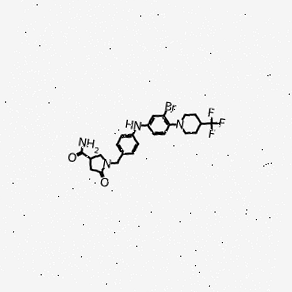 NC(=O)C1CC(=O)N(Cc2ccc(Nc3ccc(N4CCC(C(F)(F)F)CC4)c(Br)c3)cc2)C1